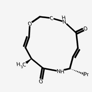 CC(C)[C@H]1/C=C/C(=O)NCCO/C=C/[C@H](C)C(=O)N1